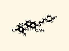 COc1cc2c(Nc3cc(C)c(Cl)cc3Cl)c(C#N)cnc2cc1OCCCN1CCN(C)CC1